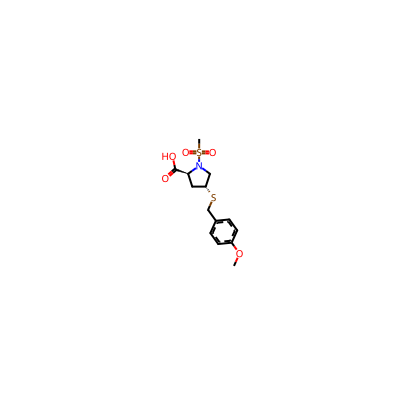 COc1ccc(CS[C@@H]2C[C@@H](C(=O)O)N(S(C)(=O)=O)C2)cc1